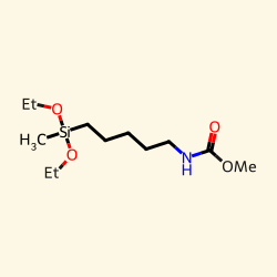 CCO[Si](C)(CCCCCNC(=O)OC)OCC